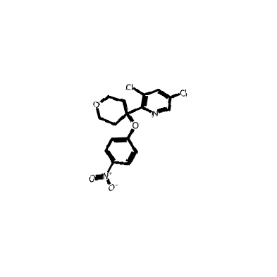 O=[N+]([O-])c1ccc(OC2(c3ncc(Cl)cc3Cl)CCOCC2)cc1